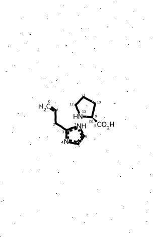 C=CCc1ncc[nH]1.O=C(O)[C@@H]1CCCN1